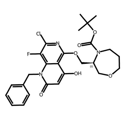 CC(C)(C)OC(=O)N1CCCOC[C@H]1COc1nc(Cl)c(F)c2c1c(O)cc(=O)n2Cc1ccccc1